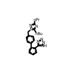 CCCCc1nc(CCC)nn1Cc1ccc(-c2ccccc2-c2nnn[nH]2)cc1